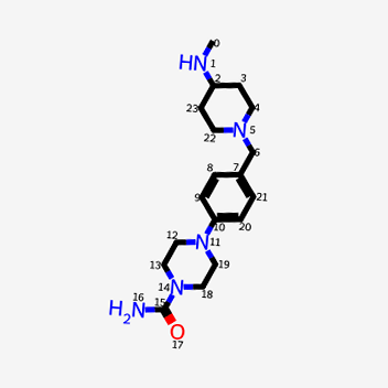 CNC1CCN(Cc2ccc(N3CCN(C(N)=O)CC3)cc2)CC1